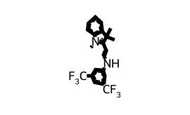 C[N+]1=C(C=CNc2cc(C(F)(F)F)cc(C(F)(F)F)c2)C(C)(C)c2ccccc21